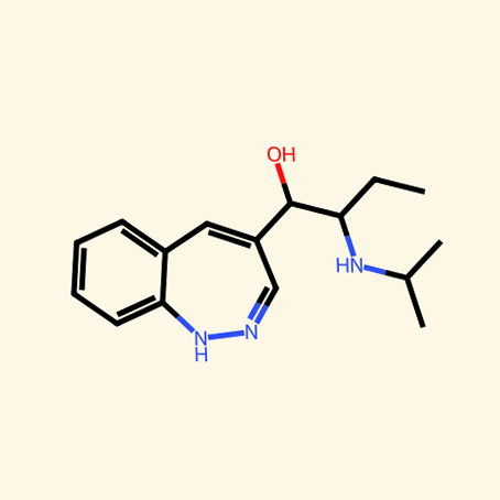 CCC(NC(C)C)C(O)C1=Cc2ccccc2NN=C1